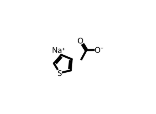 CC(=O)[O-].[Na+].c1ccsc1